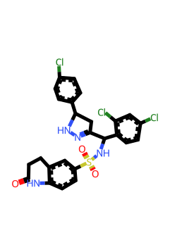 O=C1CCc2cc(S(=O)(=O)NC(C3=NNC(c4ccc(Cl)cc4)C3)c3ccc(Cl)cc3Cl)ccc2N1